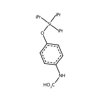 CC(C)[Si](Oc1ccc(NC(=O)O)cc1)(C(C)C)C(C)C